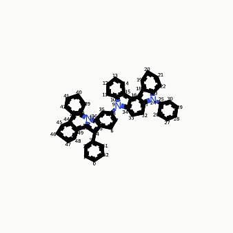 c1ccc(-c2c3ccc(-n4c5ccccc5c5c6c7ccccc7n(-c7ccccc7)c6ccc54)cc3n3c4ccccc4c4ccccc4c23)cc1